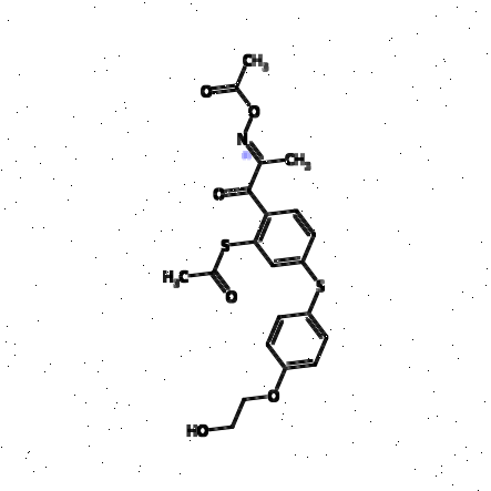 CC(=O)O/N=C(\C)C(=O)c1ccc(Sc2ccc(OCCO)cc2)cc1SC(C)=O